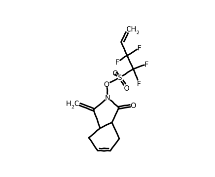 C=CC(F)(F)C(F)(F)S(=O)(=O)ON1C(=C)C2CC=CCC2C1=O